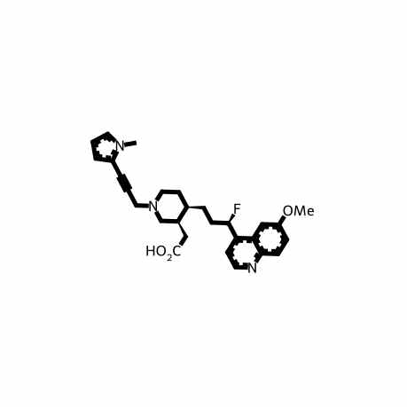 COc1ccc2nccc([C@H](F)CC[C@@H]3CCN(CC#Cc4cccn4C)C[C@@H]3CC(=O)O)c2c1